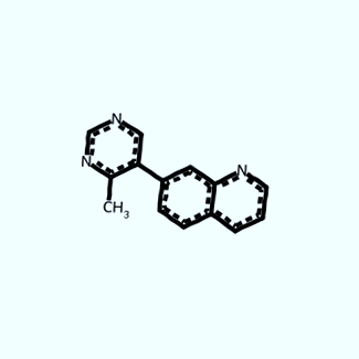 Cc1ncncc1-c1ccc2cccnc2c1